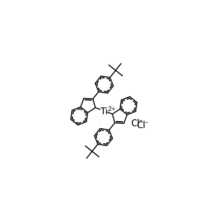 CC(C)(C)c1ccc(C2=Cc3ccccc3[CH]2[Ti+2][CH]2C(c3ccc(C(C)(C)C)cc3)=Cc3ccccc32)cc1.[Cl-].[Cl-]